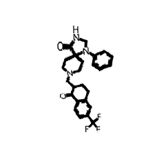 O=C1c2ccc(C(F)(F)F)cc2CCC1CN1CCC2(CC1)C(=O)NCN2c1ccccc1